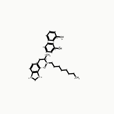 CCCCCCCC[S+]([O-])C(C)Cc1ccc2c(c1)OCO2.Oc1ccccc1.Oc1ccccc1